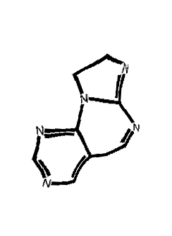 C1=NC2=NCCN2c2ncncc21